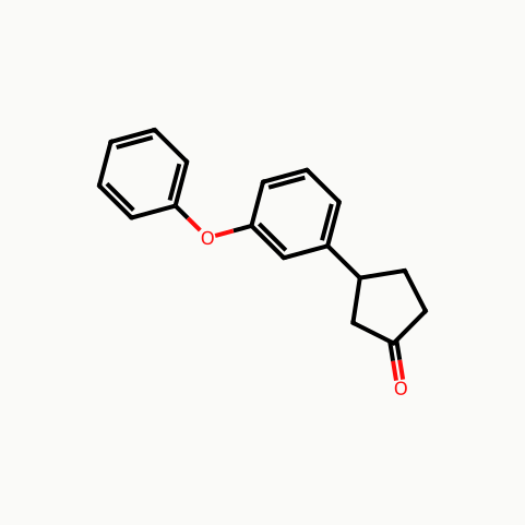 O=C1CCC(c2cccc(Oc3ccccc3)c2)C1